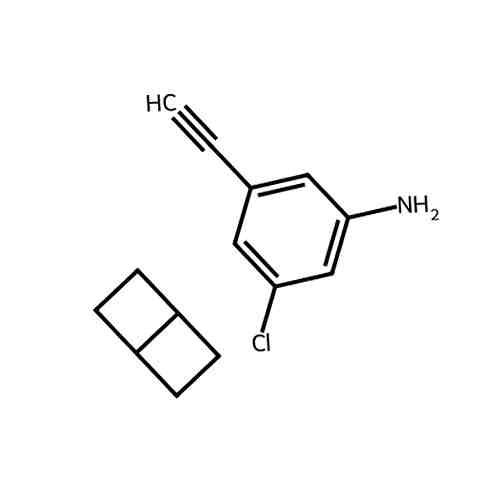 C#Cc1cc(N)cc(Cl)c1.C1CC2CCC12